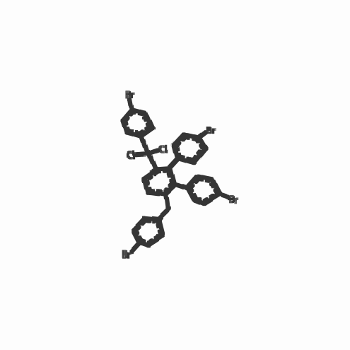 ClC(Cl)(c1ccc(Br)cc1)c1ccc(Cc2ccc(Br)cc2)c(-c2ccc(Br)cc2)c1-c1ccc(Br)cc1